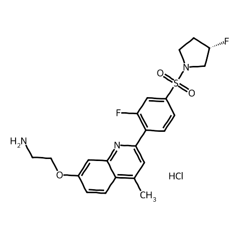 Cc1cc(-c2ccc(S(=O)(=O)N3CC[C@H](F)C3)cc2F)nc2cc(OCCN)ccc12.Cl